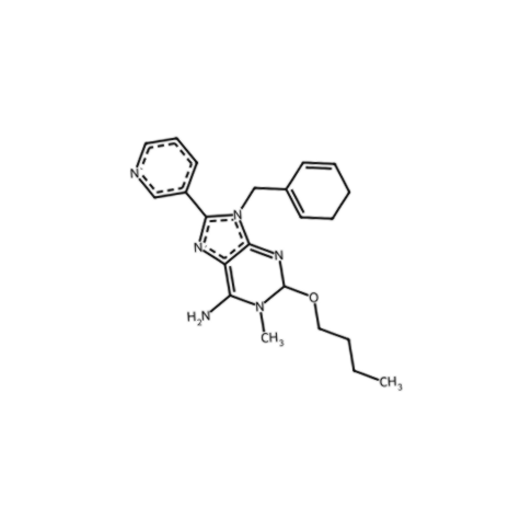 CCCCOC1N=c2c(nc(-c3cccnc3)n2CC2=CCCC=C2)=C(N)N1C